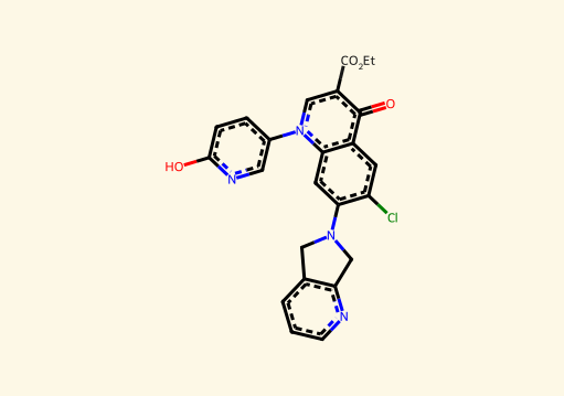 CCOC(=O)c1cn(-c2ccc(O)nc2)c2cc(N3Cc4cccnc4C3)c(Cl)cc2c1=O